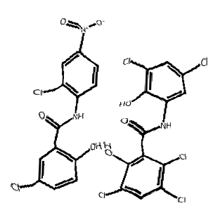 O=C(Nc1cc(Cl)cc(Cl)c1O)c1c(O)c(Cl)cc(Cl)c1Cl.O=C(Nc1ccc([N+](=O)[O-])cc1Cl)c1cc(Cl)ccc1O